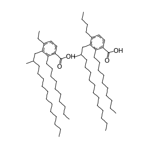 CCCCCCCCCCCCC(C)Cc1c(CC)ccc(C(=O)O)c1CCCCCCCCCC.CCCCCCCCCCCCC(C)Cc1c(CCCC)ccc(C(=O)O)c1CCCCCCCCCC